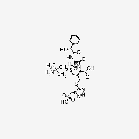 CC(C)(C)N.O=C(O)C1=C(CSc2nnnn2CS(=O)(=O)O)CS[C@@H]2[C@H](NC(=O)C(O)c3ccccc3)C(=O)N12